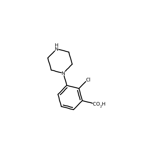 O=C(O)c1cccc(N2CCNCC2)c1Cl